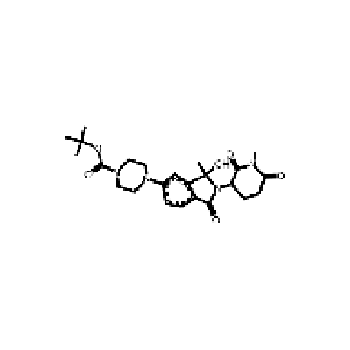 CC(C)(C)OC(=O)N1CCN(c2ccc3c(c2)C(C)(O)N(C2CCC(=O)NC2=O)C3=O)CC1